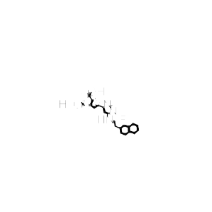 CCOc1cc(-c2cc(NCCc3ccc4ccccc4c3F)ncn2)sc1C(=O)O